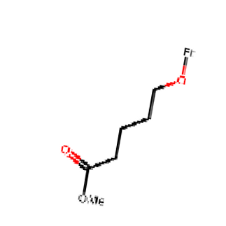 CCOCCCCC(=O)OC